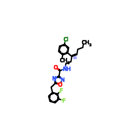 CCC/C=C(/CCNC(=O)c1noc(Cc2cccc(F)c2F)n1)c1cc(Cl)ccc1C